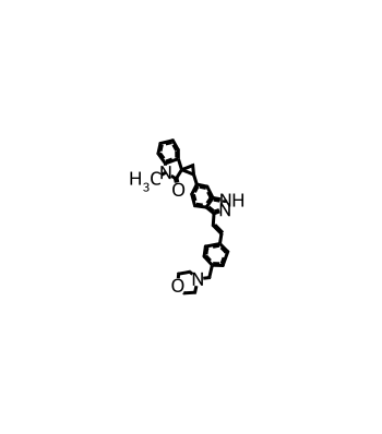 CN1C(=O)C2(CC2c2ccc3c(/C=C/c4ccc(CN5CCOCC5)cc4)n[nH]c3c2)c2ccccc21